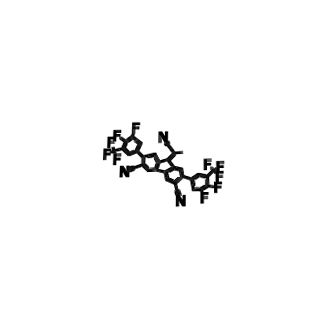 CC(C#N)=C1c2cc(-c3cc(F)c(F)c(C(F)(F)F)c3)c(C#N)cc2-c2cc(C#N)c(-c3cc(F)c(F)c(C(F)(F)F)c3)cc21